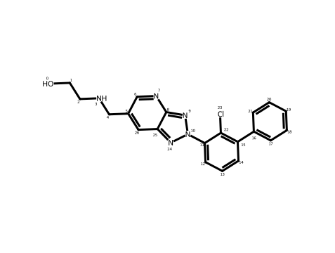 OCCNCc1cnc2nn(-c3cccc(-c4ccccc4)c3Cl)nc2c1